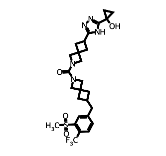 CS(=O)(=O)c1cc(CC2CC3(C2)CN(C(=O)N2CC4(CC(c5nnc(C6(O)CC6)[nH]5)C4)C2)C3)ccc1C(F)(F)F